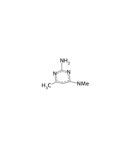 CNc1cc(C)nc(N)n1